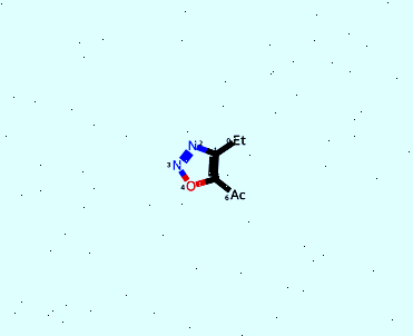 CCc1nnoc1C(C)=O